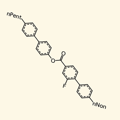 CCCCCCCCCc1ccc(-c2ccc(C(=O)Oc3ccc(-c4ccc(CCCCC)cc4)cc3)cc2F)cc1